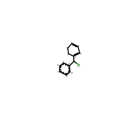 FC(C1=CC=CCC1)c1ccccc1